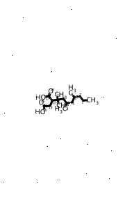 CCCC(C)CC(C)CC(C)(C)C(CC(=O)O)C(=O)O